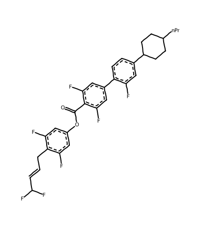 CCCC1CCC(c2ccc(-c3cc(F)c(C(=O)Oc4cc(F)c(C/C=C/C(F)F)c(F)c4)c(F)c3)c(F)c2)CC1